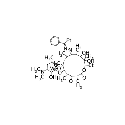 CC/C(=N\N=C1/[C@H](C)C[C@@](C)(OC)[C@H](OC2OC(C)CC(N(C)C)C2O)[C@@H](C)C(=O)[C@@H](C)C(=O)O[C@H](CC)[C@@](C)(O)[C@H](O)[C@H]1C)c1ccccc1